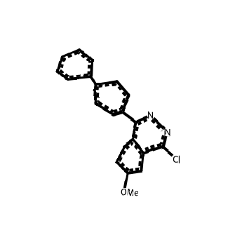 COc1ccc2c(-c3ccc(-c4ccccc4)cc3)nnc(Cl)c2c1